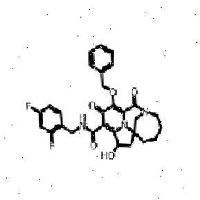 O=C(NCc1ccc(F)cc1F)c1c2n3c(c(OCc4ccccc4)c1=O)C(=O)N1CCCCC3(CC2O)C1